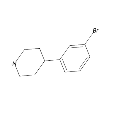 Brc1cccc(C2CC[N]CC2)c1